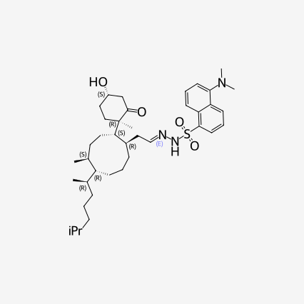 CC(C)CCC[C@@H](C)[C@H]1CCC[C@H](C/C=N/NS(=O)(=O)c2cccc3c(N(C)C)cccc23)[C@@H]([C@@]2(C)CC[C@H](O)CC2=O)CC[C@@H]1C